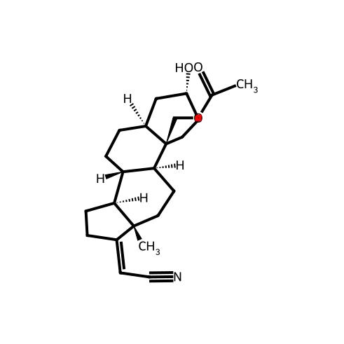 CC(=O)OC[C@]12CC[C@@H](O)C[C@@H]1CC[C@@H]1[C@@H]2CC[C@]2(C)/C(=C\C#N)CC[C@@H]12